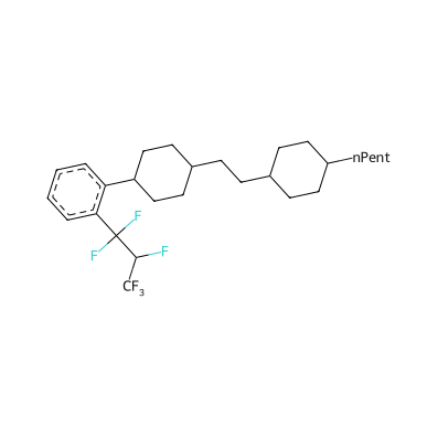 CCCCCC1CCC(CCC2CCC(c3ccccc3C(F)(F)C(F)C(F)(F)F)CC2)CC1